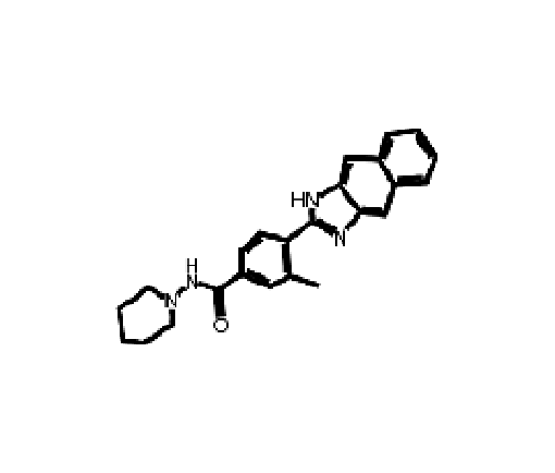 Cc1cc(C(=O)NN2CCCCC2)ccc1-c1nc2cc3ccccc3cc2[nH]1